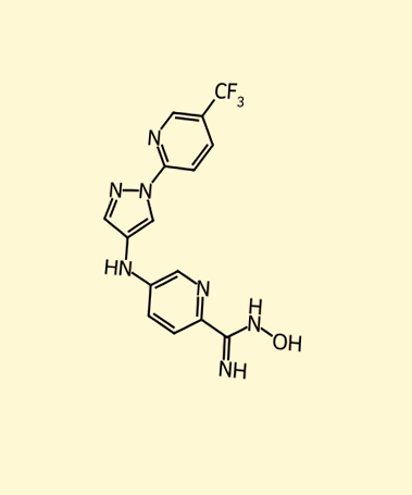 N=C(NO)c1ccc(Nc2cnn(-c3ccc(C(F)(F)F)cn3)c2)cn1